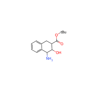 CC(C)(C)OC(=O)C1Cc2ccccc2C(N)C1O